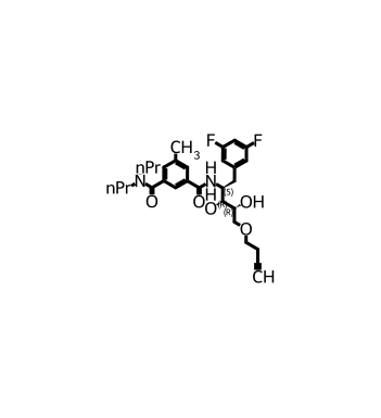 C#CCCOC[C@@H](O)[C@H](O)[C@H](Cc1cc(F)cc(F)c1)NC(=O)c1cc(C)cc(C(=O)N(CCC)CCC)c1